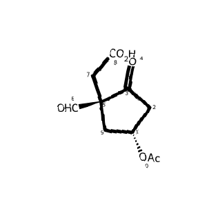 CC(=O)O[C@H]1CC(=O)[C@@](C=O)(CC(=O)O)C1